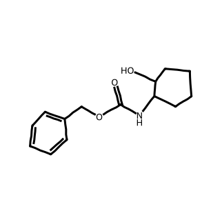 O=C(NC1CCCCC1O)OCc1ccccc1